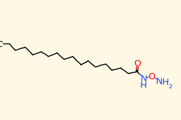 CCCCCCCCCCCCCCCCCC(=O)NON